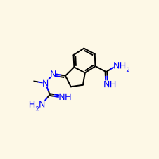 CN(/N=C1\CCc2c(C(=N)N)cccc21)C(=N)N